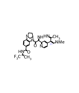 CN/C=C(\C(C)=N)c1ccnc(C(=N)C(=O)N2c3cc(C(=O)N[C@H](C)C(F)(F)F)ccc3N3CCC2C3)c1